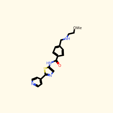 COCCNCc1ccc(C(=O)Nc2cnc(-c3ccncc3)s2)cc1